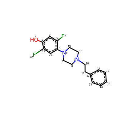 Oc1cc(F)c(N2CCN(CCc3ccccc3)CC2)cc1F